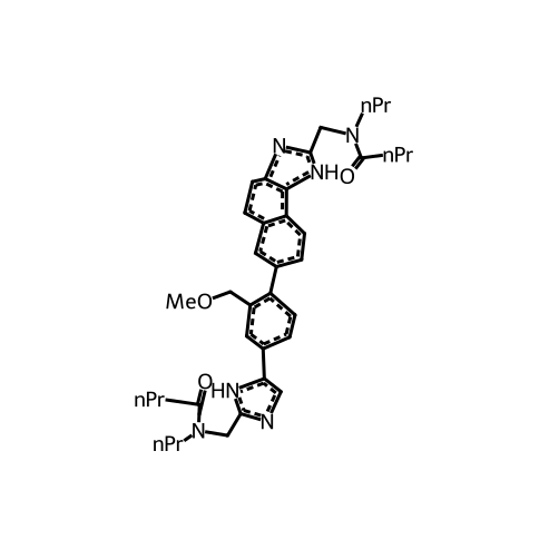 CCCC(=O)N(CCC)Cc1ncc(-c2ccc(-c3ccc4c(ccc5nc(CN(CCC)C(=O)CCC)[nH]c54)c3)c(COC)c2)[nH]1